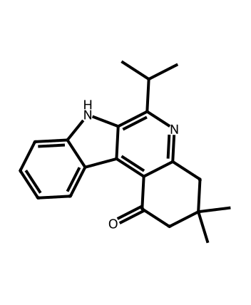 CC(C)c1nc2c(c3c1[nH]c1ccccc13)C(=O)CC(C)(C)C2